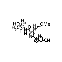 COCCCNc1cc(-c2ccc3cc(C#N)cnn23)ncc1C(=O)NC[C@@H](F)C(C)(C)O